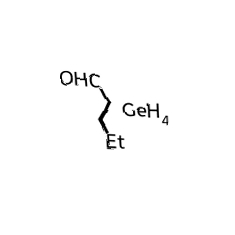 CCCCC=O.[GeH4]